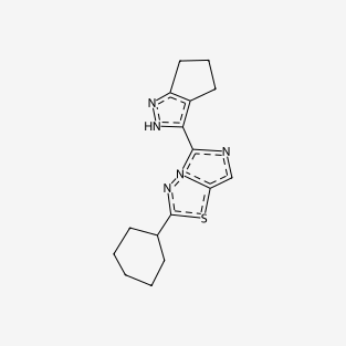 c1nc(-c2[nH]nc3c2CCC3)n2nc(C3CCCCC3)sc12